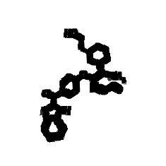 C=C/C=N\C(Oc1ccc(C(=O)c2nc3ccccc3[nH]2)cc1)=C(/N)N1CCC[C@@H](CCO)C1